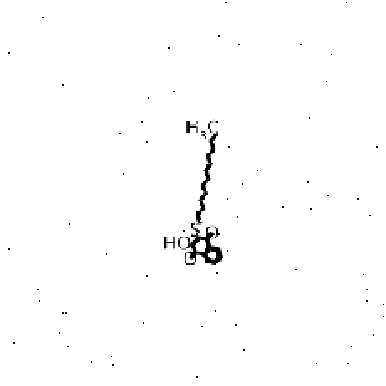 CCCCCCCCCCCCCCSC1=C(O)C(=O)c2ccccc2C1=O